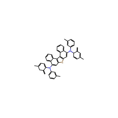 C=C1CC(C)=CC=C1N(c1cccc(C)c1)c1cc2sc3cc(N(c4cccc(C)c4)C4C=CC(C)=CC4=C)c4ccccc4c3c2c2ccccc12